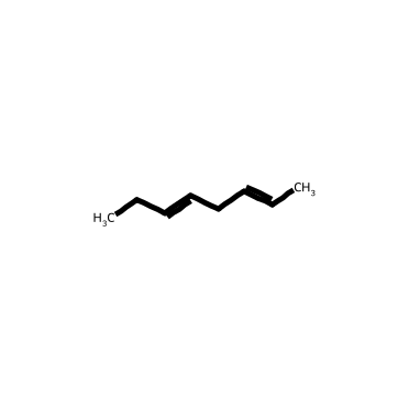 C/C=C/C/C=C/CC